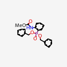 COC(=O)Nc1ccccc1P(=O)(OCc1ccccc1)OCc1ccccc1